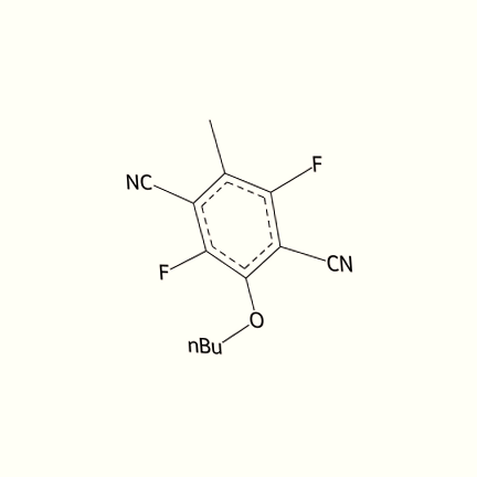 CCCCOc1c(F)c(C#N)c(C)c(F)c1C#N